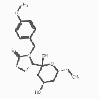 CC[C@@H]1C[C@@H](O)C[C@](O)([C@@H]2CSC(=O)N2Cc2ccc(OC)cc2)O1